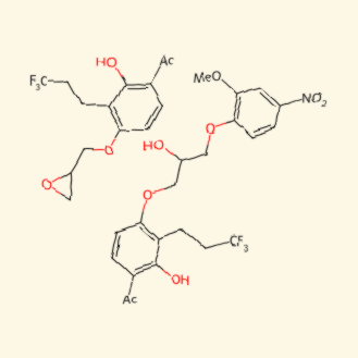 CC(=O)c1ccc(OCC2CO2)c(CCC(F)(F)F)c1O.COc1cc([N+](=O)[O-])ccc1OCC(O)COc1ccc(C(C)=O)c(O)c1CCC(F)(F)F